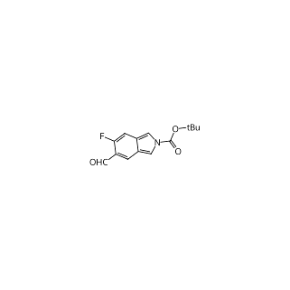 CC(C)(C)OC(=O)n1cc2cc(F)c(C=O)cc2c1